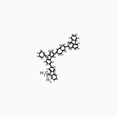 CC1(C)c2ccccc2-c2ccc(-c3ccc4c(c3)c3cc(-c5ccc6cc(-c7nc8c9c(cccc9n7)-c7ccccc7-8)ccc6c5)ccc3n4-c3ccccc3)cc21